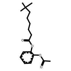 CC(=O)Oc1ccccc1OC(=O)CCCCCC(C)(C)C